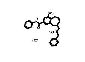 Cl.Nc1cc(C(=O)Nc2ccccc2)cc2c1CCCC(C[C@H](O)Cc1ccccc1)C2